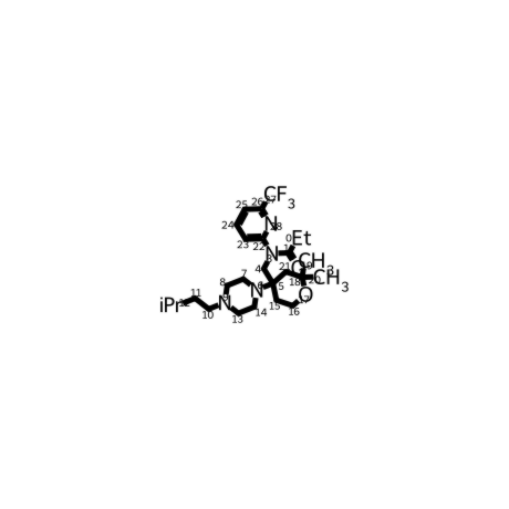 CCC(=O)N(CC1(N2CCN(CCC(C)C)CC2)CCOC(C)(C)C1)c1cccc(C(F)(F)F)n1